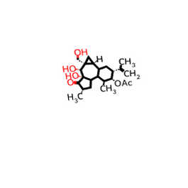 C=C(C)[C@H]1CC2C(C3C[C@H](C)C(=O)[C@@]3(O)[C@H](O)[C@@]3(CO)C[C@@H]23)[C@H](C)[C@H]1OC(C)=O